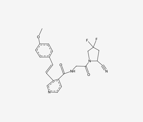 COc1ccc(C=Cc2cnccc2C(=O)NCC(=O)N2CC(F)(F)CC2C#N)cc1